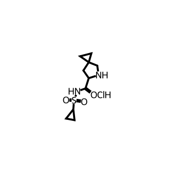 Cl.O=C(NS(=O)(=O)C1CC1)C1CC2(CC2)CN1